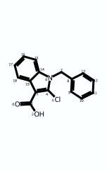 O=C(O)c1c(Cl)n(Cc2ccccc2)c2ccccc12